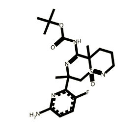 CC(C)(C)OC(=O)NC1=NC(C)(c2nc(N)ccc2F)CS2(=O)=NCCCC12C